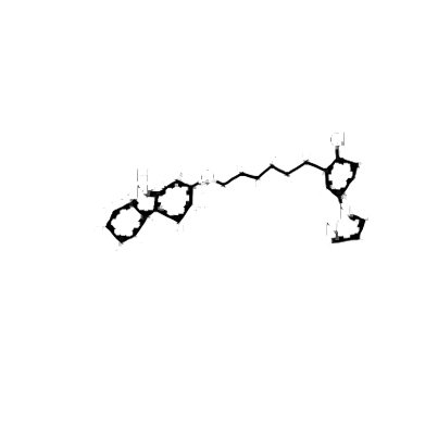 Clc1ccc(-n2cccn2)cc1CCCCCCOc1ccc2c(c1)[nH]c1ccccc12